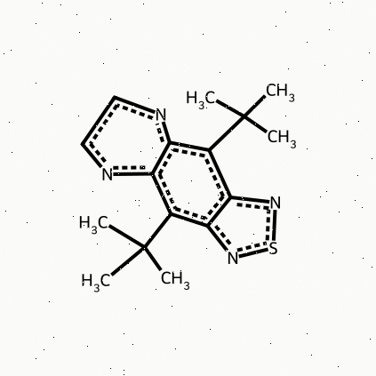 CC(C)(C)c1c2nccnc2c(C(C)(C)C)c2nsnc12